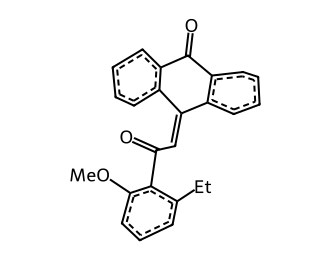 CCc1cccc(OC)c1C(=O)C=C1c2ccccc2C(=O)c2ccccc21